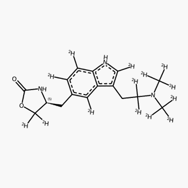 [2H]c1[nH]c2c([2H])c([2H])c(C[C@@H]3NC(=O)OC3([2H])[2H])c([2H])c2c1CC([2H])([2H])N(C([2H])([2H])[2H])C([2H])([2H])[2H]